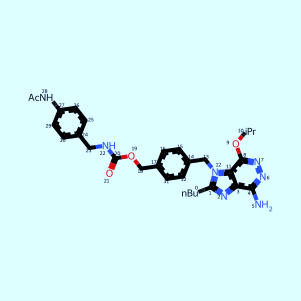 CCCCc1nc2c(N)nnc(OC(C)C)c2n1Cc1ccc(COC(=O)NCc2ccc(NC(C)=O)cc2)cc1